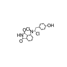 O=C1NC(=O)c2c1cccc2N(Cl)C(Cl)Cc1ccc(O)cc1